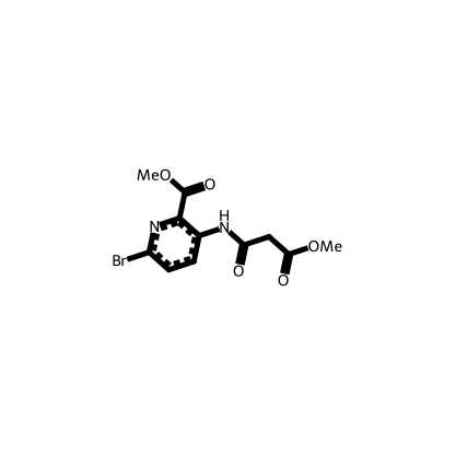 COC(=O)CC(=O)Nc1ccc(Br)nc1C(=O)OC